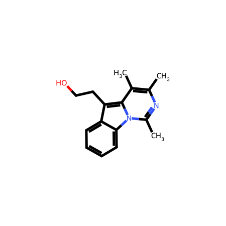 Cc1nc(C)n2c(c1C)c(CCO)c1ccccc12